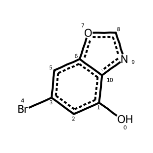 Oc1cc(Br)cc2ocnc12